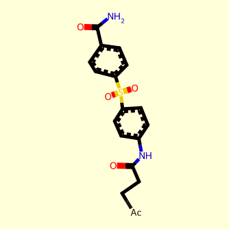 CC(=O)CCC(=O)Nc1ccc(S(=O)(=O)c2ccc(C(N)=O)cc2)cc1